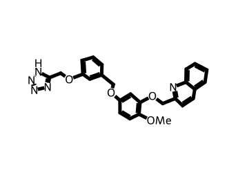 COc1ccc(OCc2cccc(OCc3nnn[nH]3)c2)cc1OCc1ccc2ccccc2n1